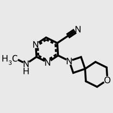 CNc1ncc(C#N)c(N2CC3(CCOCC3)C2)n1